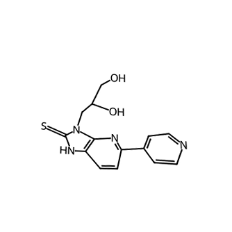 OCC(O)Cn1c(=S)[nH]c2ccc(-c3ccncc3)nc21